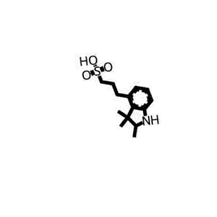 CC1Nc2cccc(CCCS(=O)(=O)O)c2C1(C)C